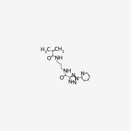 C=C(C)C(=O)NCCCNC(=O)c1nnn(-c2ccccn2)n1